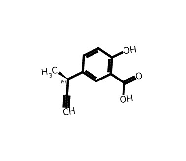 C#C[C@@H](C)c1ccc(O)c(C(=O)O)c1